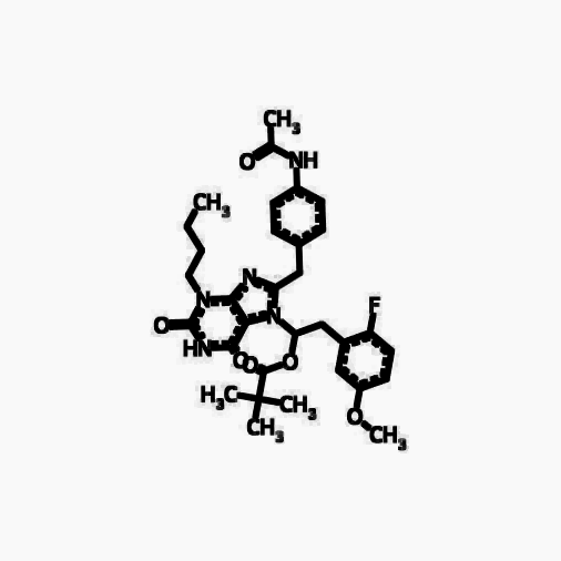 CCCCn1c(=O)[nH]c(=O)c2c1nc(Cc1ccc(NC(C)=O)cc1)n2C(Cc1cc(OC)ccc1F)OC(=O)C(C)(C)C